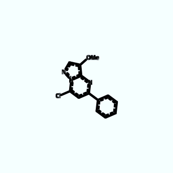 COc1cnn2c(Cl)cc(-c3ccccc3)nc12